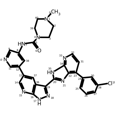 CN1CCN(C(=O)Nc2cncc(-c3cnc4[nH]nc(-c5nc6c(-c7cccc(Cl)c7)ccnc6[nH]5)c4c3)c2)CC1